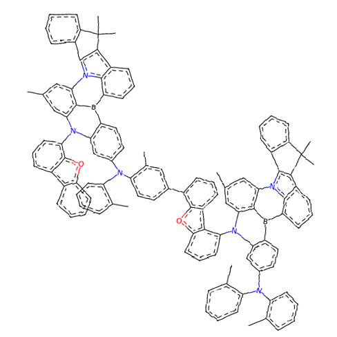 Cc1cc2c3c(c1)-n1c4c(c5cccc(c51)B3c1ccc(N(c3ccccc3C)c3ccc(-c5cccc6c5oc5cccc(N7c8cc(N(c9ccccc9C)c9ccccc9C)ccc8B8c9c7cc(C)cc9-n7c9c(c%10cccc8c%107)C(C)(C)c7ccccc7-9)c56)cc3C)cc1N2c1cccc2c1oc1ccccc12)C(C)(C)c1ccccc1-4